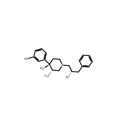 CC(=O)[C@@H](Cc1ccccc1)CN1CC[C@@](C)(c2cccc(O)c2)[C@@H](C)C1